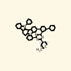 C=C/C=C(\C=C/C)c1nc(-c2ccccc2)nc(-c2cc(-c3ccccc3)ccc2-c2ccc3c(c2)oc2ccc4c5ccccc5n(-c5ccccc5)c4c23)n1